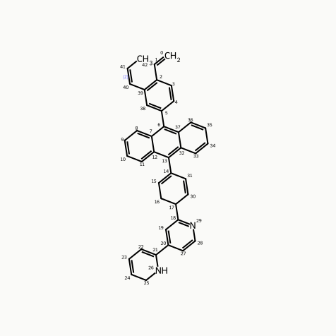 C=Cc1ccc(-c2c3ccccc3c(C3=CCC(c4cc(C5=CC=CCN5)ccn4)C=C3)c3ccccc23)cc1/C=C\C